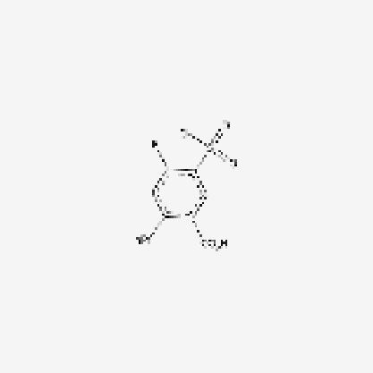 CCCc1cc(F)c(S(=O)(=O)Cl)cc1C(=O)O